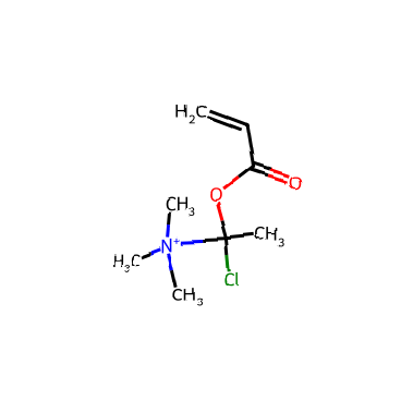 C=CC(=O)OC(C)(Cl)[N+](C)(C)C